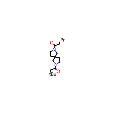 CC(C)CC(=O)N1CCC2(CCN(C(=O)CC(C)(C)C)C2)C1